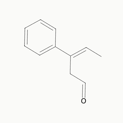 CC=C(CC=O)c1ccccc1